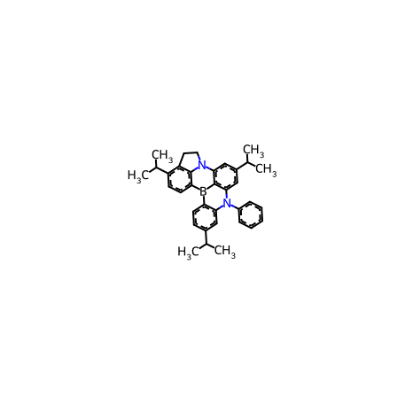 CC(C)c1ccc2c(c1)N(c1ccccc1)c1cc(C(C)C)cc3c1B2c1ccc(C(C)C)c2c1N3CC2